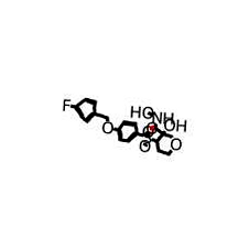 O=C(NO)C1(O)COCCC1S(=O)(=O)c1ccc(OCc2ccc(F)cc2)cc1